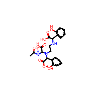 CC(O)NC(C(=O)O)N(CCNC(C(=O)O)c1ccccc1O)C(C(=O)O)c1ccccc1O